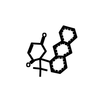 CC(C)(C)C1(c2cccc3cc4ccccc4cc23)CC(=O)C=CC1=O